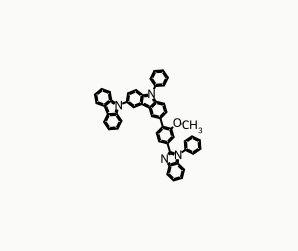 COc1cc(-c2nc3ccccc3n2-c2ccccc2)ccc1-c1ccc2c(c1)c1cc(-n3c4ccccc4c4ccccc43)ccc1n2-c1ccccc1